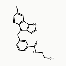 O=C(NCCO)c1cccc(Cn2c3ccc(F)cc3c3[nH]ncc32)c1